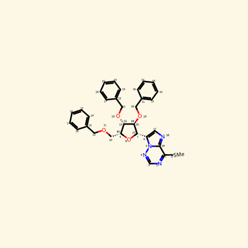 CSc1ncnn2c([C@@H]3O[C@H](COCc4ccccc4)[C@H](OCc4ccccc4)[C@H]3OCc3ccccc3)cnc12